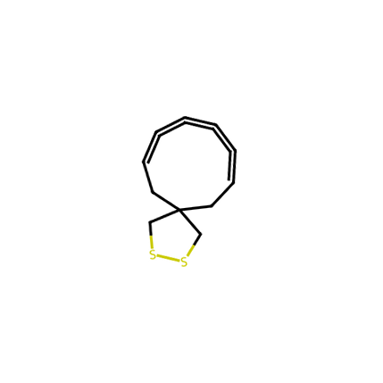 C1=C=C=CCC2(CC=C=1)CSSC2